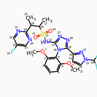 COc1cccc(OC)c1-n1c(NS(=O)(=O)C(C)C(C)c2ncc(F)cn2)nnc1-c1ccn(C(F)F)n1